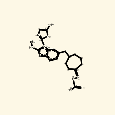 CCCCNc1nc2ccc(CC3CCCC(=NOC(=O)CCC)CC3)cc2n1C1=NCC(CCC)S1